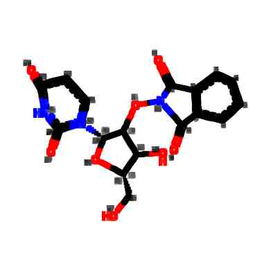 O=C1c2ccccc2C(=O)N1OC1C(O)[C@H](CO)O[C@@H]1n1ccc(=O)[nH]c1=O